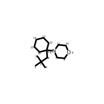 CC(C)(C)CC1(N2CCOCC2)CCCCC1